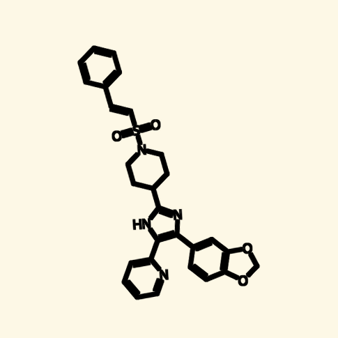 O=S(=O)(C=Cc1ccccc1)N1CCC(c2nc(-c3ccc4c(c3)OCO4)c(-c3ccccn3)[nH]2)CC1